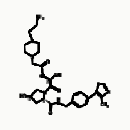 Cc1ncsc1-c1ccc(CNC(=O)[C@@H]2C[C@@H](O)CN2C(=O)[C@@H](NC(=O)CN2CCN(CCN)CC2)C(C)(C)C)cc1